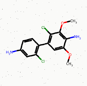 COc1cc(-c2ccc(N)cc2Cl)c(Cl)c(OC)c1N